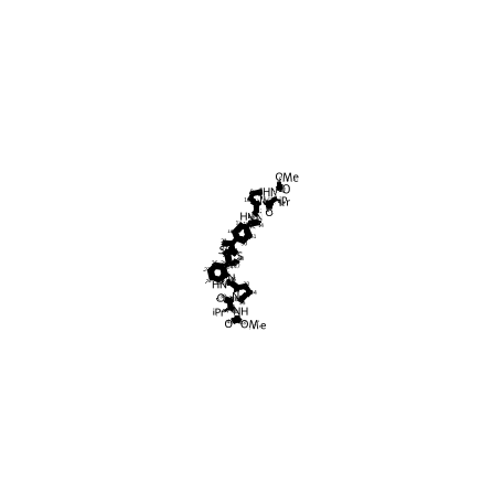 COC(=O)N[C@H](C(=O)N1CCCC1c1ncc(-c2ccc(-c3csc4c(-c5cccc6[nH]c(C7CCCN7C(=O)[C@@H](NC(=O)OC)C(C)C)nc56)csc34)cc2)[nH]1)C(C)C